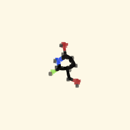 Fc1nc(Br)ccc1CBr